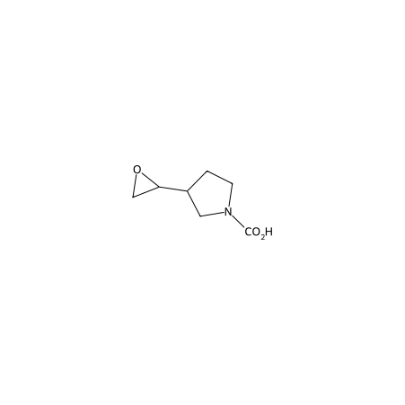 O=C(O)N1CCC(C2CO2)C1